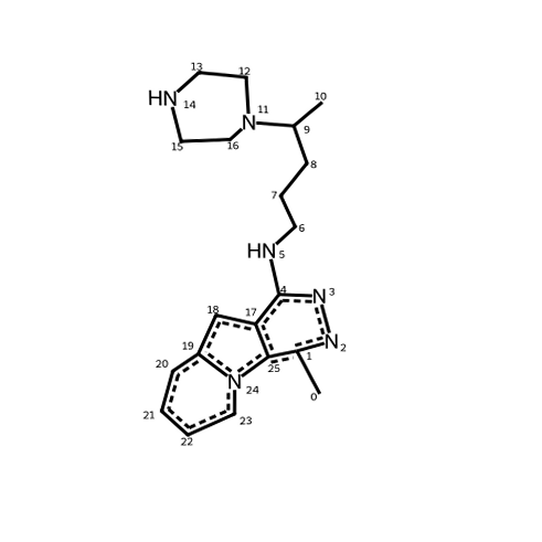 Cc1nnc(NCCCC(C)N2CCNCC2)c2cc3ccccn3c12